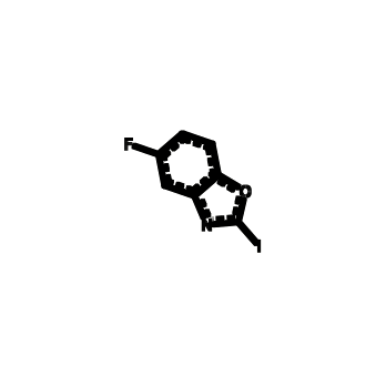 Fc1ccc2oc(I)nc2c1